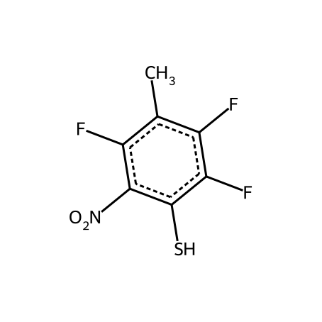 Cc1c(F)c(F)c(S)c([N+](=O)[O-])c1F